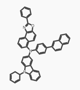 C1=CCC(n2c3ccccc3c3cc(N(c4ccc(-c5ccc6ccccc6c5)cc4)c4cccc5c4ccc4oc(-c6ccccc6)nc45)ccc32)C=C1